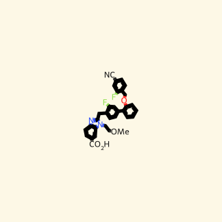 COCCn1c(Cc2ccc(-c3ccccc3OCc3ccc(C#N)cc3F)cc2F)nc2ccc(C(=O)O)cc21